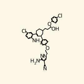 N#Cc1cn(CCOc2ccc(C3C=C(c4cc(Cl)ccc4N)CCC(CCC(O)Oc4ccc(Cl)cc4)C3)cc2)nc1N